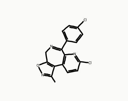 Cc1noc2c1-c1ccc(Cl)nc1C(c1ccc(Cl)cc1)=NC2